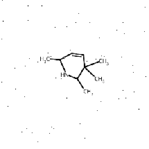 CC1C=CC(C)(C)C(C)N1